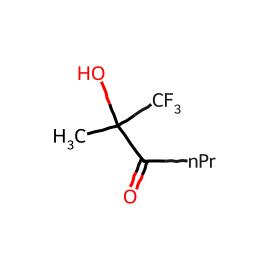 CCCC(=O)C(C)(O)C(F)(F)F